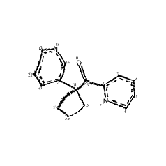 O=C(c1ccccn1)C1(c2cccnc2)CCC1